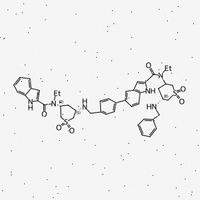 CCN(C(=O)c1cc2cc(-c3ccc(CN[C@H]4C[C@@H](N(CC)C(=O)c5cc6ccccc6[nH]5)CS(=O)(=O)C4)cc3)ccc2[nH]1)C1C[C@@H](NCc2ccccc2)CS(=O)(=O)C1